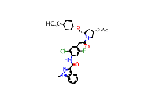 CO[C@H]1C[C@@H](CO[C@H]2CC[C@H](C(=O)O)CC2)N(C(=O)Cc2cc(Cl)c(NC(=O)c3nn(C)c4ccccc34)cc2F)C1